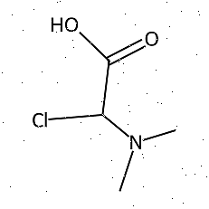 CN(C)C(Cl)C(=O)O